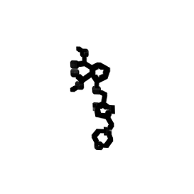 COC(=O)c1cccc(OCc2nc(CN3CCOCC3)cs2)c1C(=O)OC